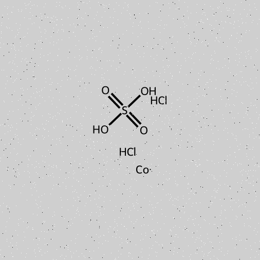 Cl.Cl.O=S(=O)(O)O.[Co]